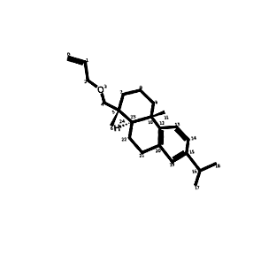 C=CCOC[C@]1(C)CCC[C@]2(C)c3ccc(C(C)C)cc3CC[C@@H]12